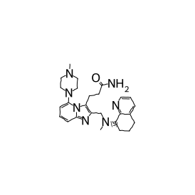 CN1CCN(c2cccc3nc(CN(C)[C@H]4CCCc5cccnc54)c(CCC(N)=O)n23)CC1